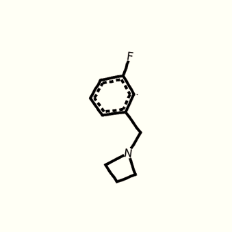 Fc1[c]c(CN2CCC2)ccc1